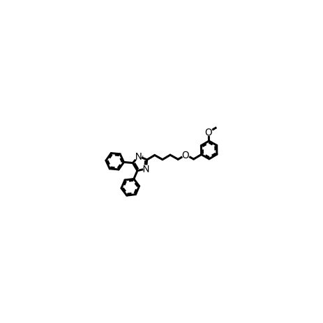 COc1cccc(COCCCCC2=NC(c3ccccc3)=C(c3ccccc3)[N]2)c1